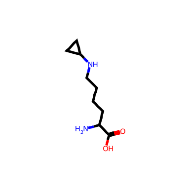 NC(CCCCNC1CC1)C(=O)O